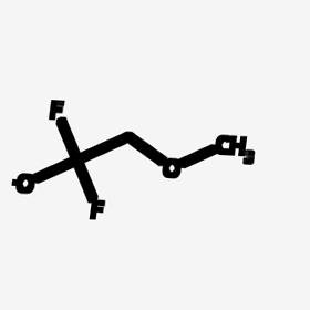 COCC([O])(F)F